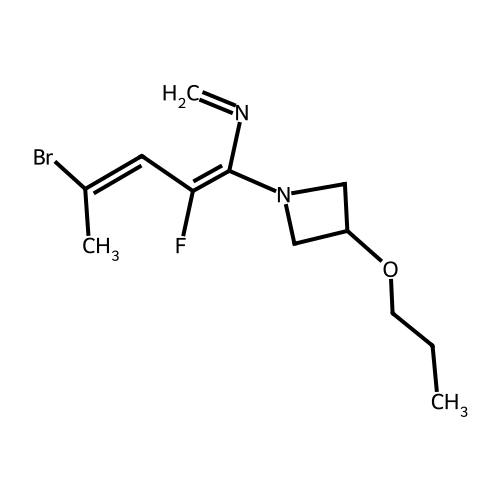 C=N/C(=C(F)\C=C(/C)Br)N1CC(OCCC)C1